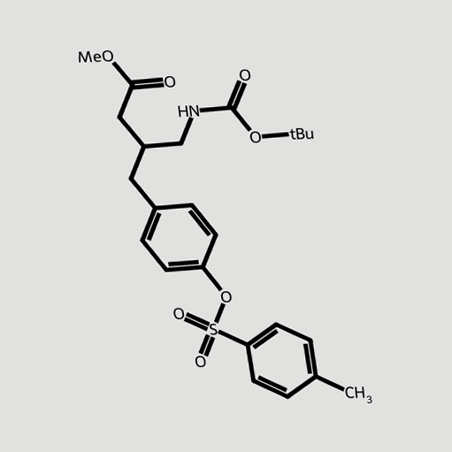 COC(=O)CC(CNC(=O)OC(C)(C)C)Cc1ccc(OS(=O)(=O)c2ccc(C)cc2)cc1